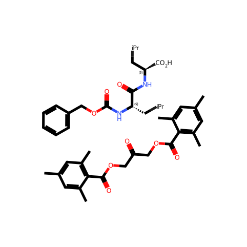 CC(C)C[C@H](NC(=O)[C@H](CC(C)C)NC(=O)OCc1ccccc1)C(=O)O.Cc1cc(C)c(C(=O)OCC(=O)COC(=O)c2c(C)cc(C)cc2C)c(C)c1